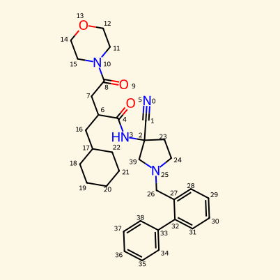 N#CC1(NC(=O)C(CC(=O)N2CCOCC2)CC2CCCCC2)CCN(Cc2ccccc2-c2ccccc2)C1